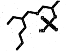 [CH2]C(COCC(CC)CCCC)OS(=O)(=O)O